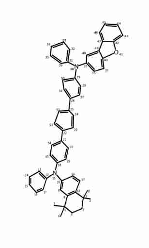 CC1(C)CCC(C)(C)c2cc(N(c3ccccc3)c3ccc(-c4ccc(-c5ccc(N(c6ccccc6)c6ccc7oc8ccccc8c7c6)cc5)cc4)cc3)ccc21